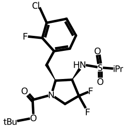 CC(C)S(=O)(=O)N[C@@H]1[C@H](Cc2cccc(Cl)c2F)N(C(=O)OC(C)(C)C)CC1(F)F